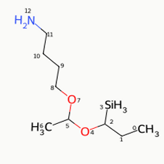 CCC([SiH3])OC(C)OCCCCN